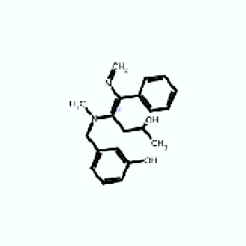 C=N/C(=C(/CC(C)O)N(C)Cc1cccc(O)c1)c1ccccc1